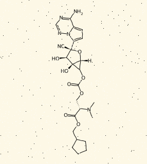 CN(C)[C@@H](COC(=O)OC1[C@H]2O[C@@](C#N)(c3ccc4c(N)ncnn34)[C@H](O)[C@@]12O)C(=O)OCC1CCCC1